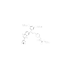 COc1cc(OC)cc(N(CCN2CCC(CNC(=O)OC(C)(C)C)CC2)c2ccc3ncc(-c4cnn(C)c4)nc3c2)c1